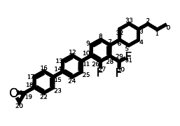 CCCC1CCC(c2ccc(-c3ccc(-c4ccc(C5CO5)cc4)cc3)c(F)c2C(F)F)CC1